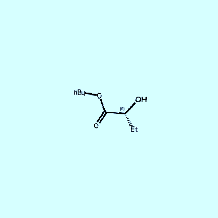 CCCCOC(=O)[C@H](O)CC